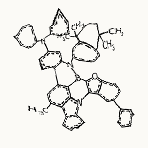 Cc1cc2c3c4c1c1ccccc1n4-c1c(oc4ccc(-c5ccccc5)cc14)B3N(c1ccc3c(c1)C(C)(C)CCC3(C)C)c1cc(N(c3ccccc3)c3ccccc3)ccc1-2